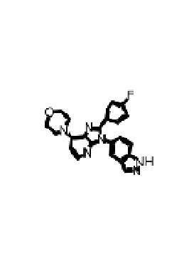 Fc1ccc(-c2nc3c(N4CCOCC4)ccnc3n2-c2ccc3[nH]ncc3c2)cc1